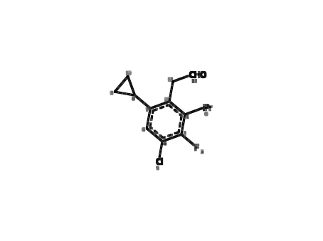 CC(C)c1c(F)c(Cl)cc(C2CC2)c1CC=O